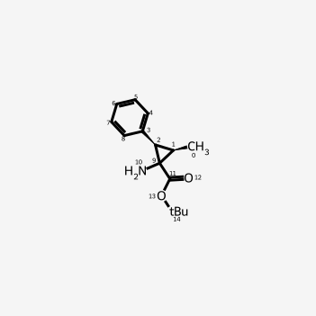 C[C@@H]1[C@H](c2ccccc2)C1(N)C(=O)OC(C)(C)C